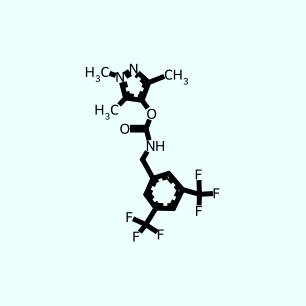 Cc1nn(C)c(C)c1OC(=O)NCc1cc(C(F)(F)F)cc(C(F)(F)F)c1